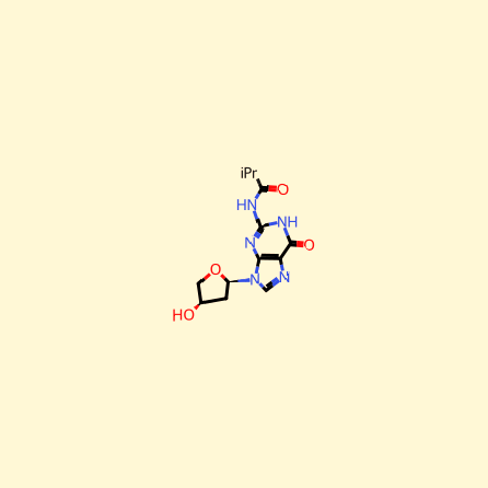 CC(C)C(=O)Nc1nc2c(ncn2[C@H]2C[C@@H](O)CO2)c(=O)[nH]1